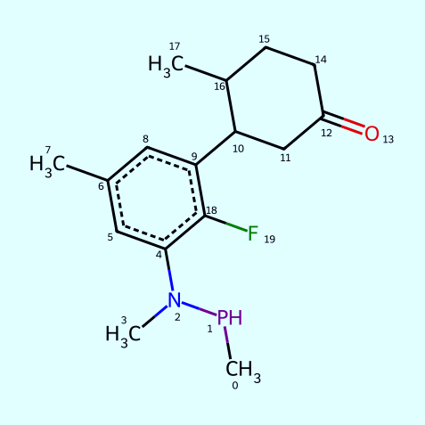 CPN(C)c1cc(C)cc(C2CC(=O)CCC2C)c1F